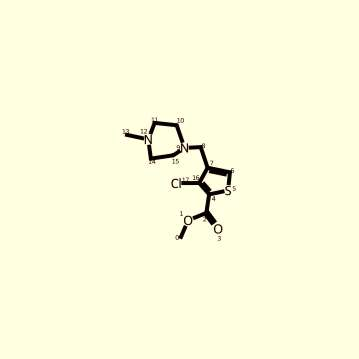 COC(=O)c1scc(CN2CCN(C)CC2)c1Cl